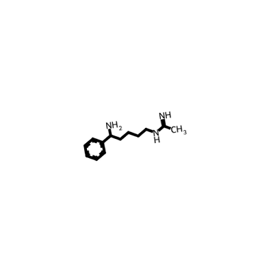 CC(=N)NCCCCC(N)c1ccccc1